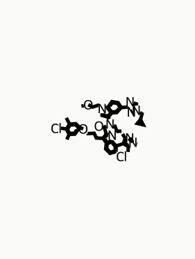 COCCn1cc(N2CC(C)n3c(c(CCCOc4cc(C)c(Cl)c(C)c4)c4ccc(Cl)c(-c5c(C)nn(C)c5C)c43)C2=O)c2cc(-c3ncn(CC4CC4)n3)ccc21